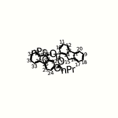 CCCC(=O)[O][Ti]([O]C(=O)CCC)([c]1cccc2c1Cc1ccccc1-2)[c]1cccc2c1Cc1ccccc1-2